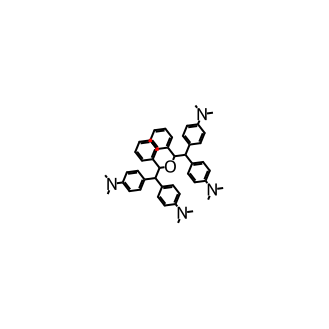 CN(C)c1ccc(C(c2ccc(N(C)C)cc2)C(OC(c2ccccc2)C(c2ccc(N(C)C)cc2)c2ccc(N(C)C)cc2)c2ccccc2)cc1